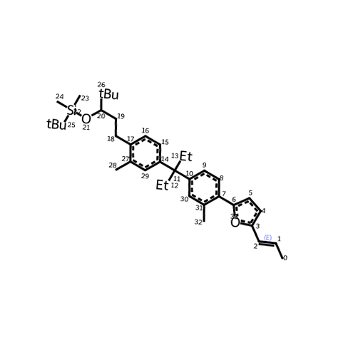 C/C=C/c1ccc(-c2ccc(C(CC)(CC)c3ccc(CCC(O[Si](C)(C)C(C)(C)C)C(C)(C)C)c(C)c3)cc2C)o1